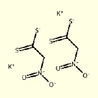 O=[N+]([O-])CC(=S)[S-].O=[N+]([O-])CC(=S)[S-].[K+].[K+]